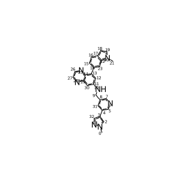 Cn1cc(-c2cncc(CNc3cc(-c4ccc5ccn(C)c5c4)c4nccnc4c3)c2)cn1